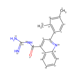 Cc1ccc(-c2cc(C(=O)NC(=N)N)c3ccccc3n2)c(C)c1